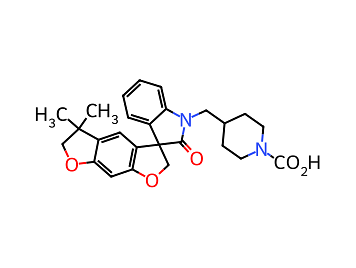 CC1(C)COc2cc3c(cc21)C1(CO3)C(=O)N(CC2CCN(C(=O)O)CC2)c2ccccc21